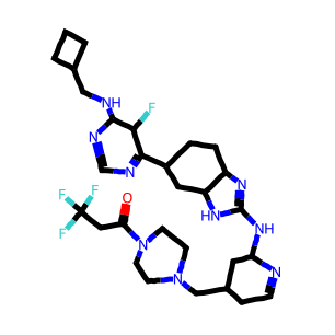 O=C(CC(F)(F)F)N1CCN(CC2CC=NC(NC3=NC4CCC(C5=NC=NC(NCC6CCC6)C5F)CC4N3)C2)CC1